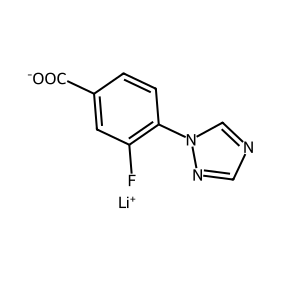 O=C([O-])c1ccc(-n2cncn2)c(F)c1.[Li+]